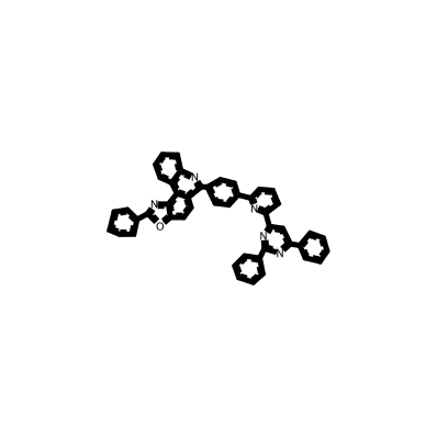 c1ccc(-c2cc(-c3cccc(-c4ccc(-c5nc6ccccc6c6c5ccc5oc(-c7ccccc7)nc56)cc4)n3)nc(-c3ccccc3)n2)cc1